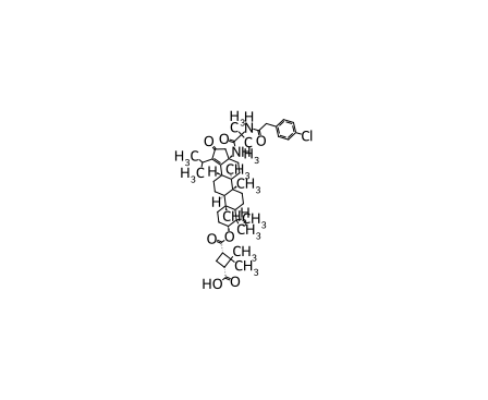 CC(C)C1=C2[C@H]3CC[C@@H]4[C@@]5(C)CC[C@H](OC(=O)[C@H]6C[C@@H](C(=O)O)C6(C)C)C(C)(C)[C@@H]5CC[C@@]4(C)[C@]3(C)CC[C@@]2(NC(=O)C(C)(C)NC(=O)Cc2ccc(Cl)cc2)CC1=O